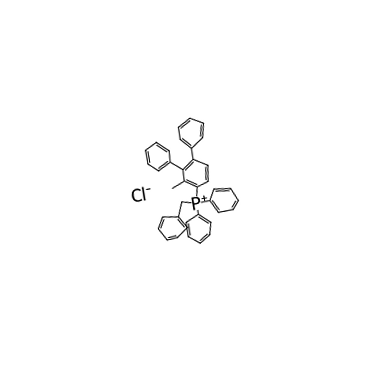 Cc1c([P+](Cc2ccccc2)(c2ccccc2)c2ccccc2)ccc(-c2ccccc2)c1-c1ccccc1.[Cl-]